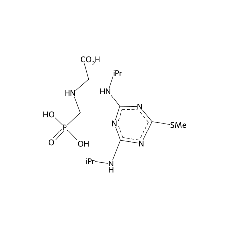 CSc1nc(NC(C)C)nc(NC(C)C)n1.O=C(O)CNCP(=O)(O)O